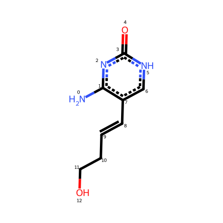 Nc1nc(=O)[nH]cc1/C=C/CCO